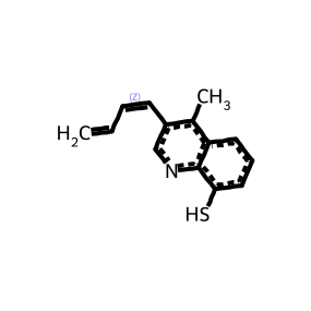 C=C/C=C\c1cnc2c(S)cccc2c1C